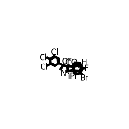 CC1CCCC([C@]2(C(=O)O)[C@@](c3cc(Cl)c(Cl)c(Cl)c3)(C(F)(F)F)C=N[C@@]2(c2ccc(F)c(Br)c2)C(C)C)C1